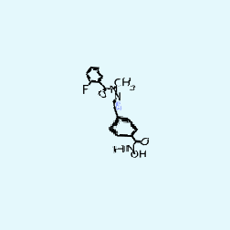 CN(/N=C/c1ccc(C(=O)NO)cc1)C(=O)c1ccccc1F